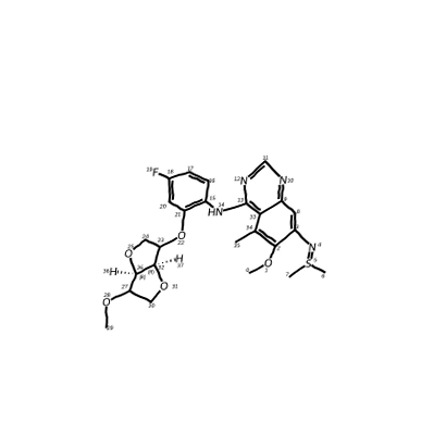 COc1c(N=S(C)C)cc2ncnc(Nc3ccc(F)cc3OC3CO[C@@H]4C(OC)CO[C@H]34)c2c1C